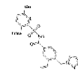 C=Cc1cc(C(=O)NS(=O)(=O)c2nc(C(C)(C)C)ccc2OC)ccc1Cn1cccn1